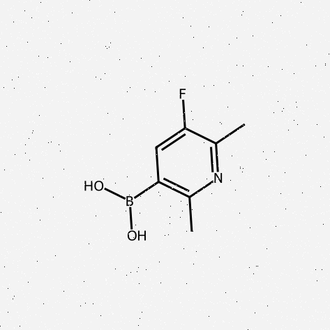 Cc1nc(C)c(B(O)O)cc1F